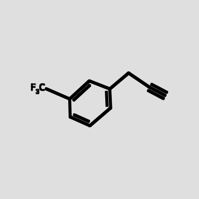 C#CCc1cccc(C(F)(F)F)c1